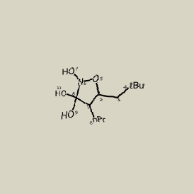 CCCC1C(CC(C)(C)C)ON(O)C1(O)O